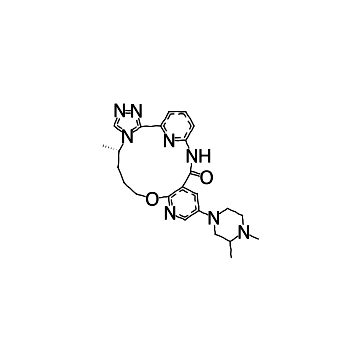 CC1CN(c2cnc3c(c2)C(=O)Nc2cccc(n2)-c2nncn2[C@@H](C)CCCO3)CCN1C